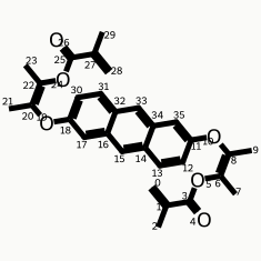 C=C(C)C(=O)OC(C)=C(C)Oc1ccc2cc3cc(OC(C)=C(C)OC(=O)C(=C)C)ccc3cc2c1